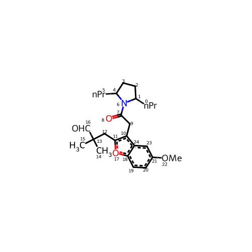 CCCC1CCC(CCC)N1C(=O)Cc1c(CC(C)(C)C=O)oc2ccc(OC)cc12